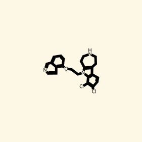 Clc1ccc2c3c(n(CCOc4cccc5cnccc45)c2c1Cl)CCNCC3